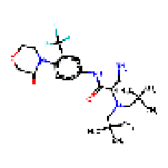 CC(C)(C)CN(CC(C)(C)C)[C@H](CN)C(=O)Nc1ccc(N2CCOCC2=O)c(C(F)(F)F)c1